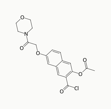 CC(=O)Oc1cc2ccc(OCC(=O)N3CCOCC3)cc2cc1C(=O)Cl